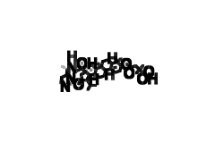 CC(C)C1=C2[C@H]3CC[C@@H]4[C@@]5(C)CC[C@H](OC(=O)CC(C)(C)C(=O)O)C(C)(C)[C@@H]5CC[C@@]4(C)[C@]3(C)CC[C@@]2([C@@H](O)CN[C@@H](C)c2ccncn2)CC1=O